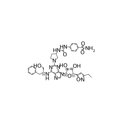 CCc1cc([C@H]2O[C@@H](n3cnc4c(N[C@H](CO)Cc5ccccc5)nc(N5CCC(NC(=O)Nc6ccc(S(N)(=O)=O)cc6)C5)nc43)[C@H](O)[C@@H]2O)on1